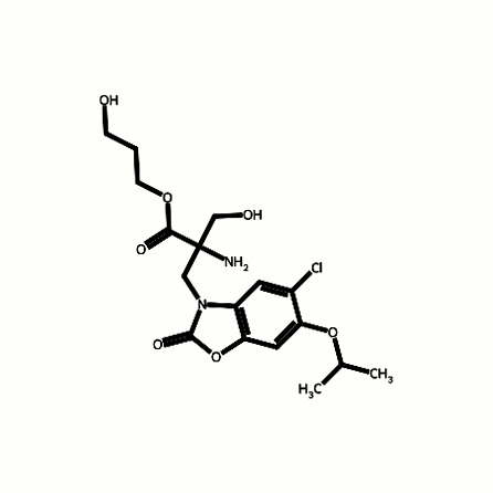 CC(C)Oc1cc2oc(=O)n(CC(N)(CO)C(=O)OCCCO)c2cc1Cl